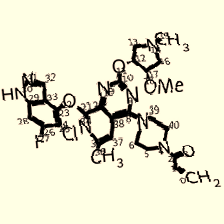 C=CC(=O)N1CCN(c2nc(O[C@@H]3CN(C)C[C@H]3OC)nc3c(Oc4c(Cl)c(F)cc5[nH]ncc45)nc(C)cc23)CC1